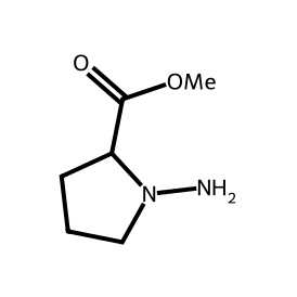 COC(=O)C1CCCN1N